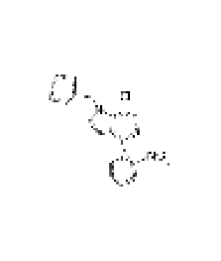 O=[N+]([O-])c1ccccc1-c1ccc(Cl)c2c1ccn2Cc1ccccc1